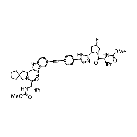 COC(=O)N[C@H](C(=O)N1C[C@H](F)C[C@H]1c1ncc(-c2ccc(C#Cc3ccc4nc([C@@H]5CC6(CCCC6)CN5C(=O)[C@@H](NC(=O)OC)C(C)C)[nH]c4c3)cc2)[nH]1)C(C)C